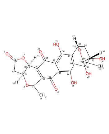 CC1O[C@H]2CC(=O)O[C@H]2C2=C1C(=O)c1c(O)c3c(c(O)c1C2=O)[C@@H]1CC(O)C3(O)[C@@H](C)O1